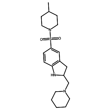 CC1CCN(S(=O)(=O)c2ccc3c(c2)CC(CN2CCCCC2)N3)CC1